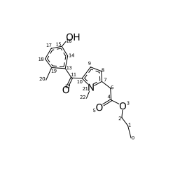 CCCOC(=O)Cc1ccc(C(=O)c2cc(O)ccc2C)n1C